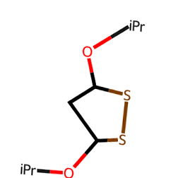 CC(C)OC1CC(OC(C)C)SS1